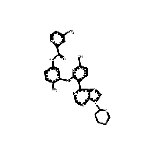 Cc1ccc(-c2ncnc3c2ncn3C2CCCCO2)c(Nc2cc(NC(=O)c3cc(C(F)(F)F)ccn3)ccc2C)n1